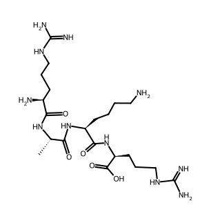 C[C@H](NC(=O)[C@@H](N)CCCNC(=N)N)C(=O)N[C@@H](CCCCN)C(=O)N[C@@H](CCCNC(=N)N)C(=O)O